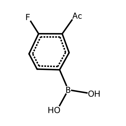 CC(=O)c1cc(B(O)O)ccc1F